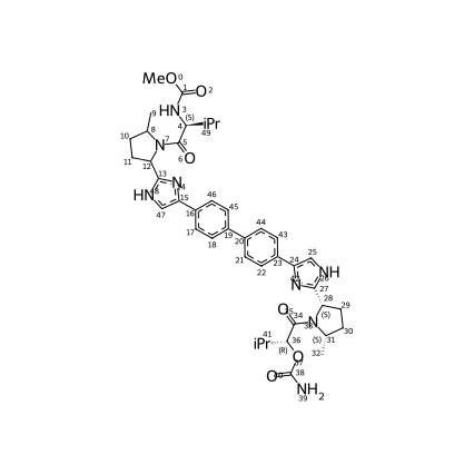 COC(=O)N[C@H](C(=O)N1C(C)CCC1c1nc(-c2ccc(-c3ccc(-c4c[nH]c([C@@H]5CC[C@H](C)N5C(=O)[C@H](OC(N)=O)C(C)C)n4)cc3)cc2)c[nH]1)C(C)C